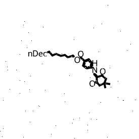 CCCCCCCCCCCCCCCCCOC(=O)c1ccc(NC=C2C(=O)CC(C)(C)CC2=O)cc1